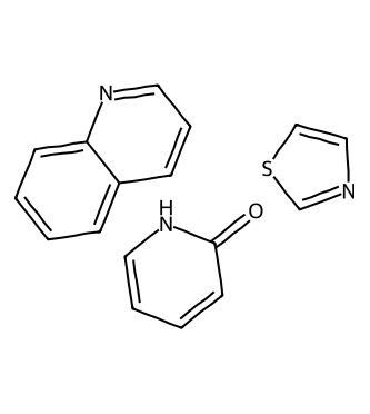 O=c1cccc[nH]1.c1ccc2ncccc2c1.c1cscn1